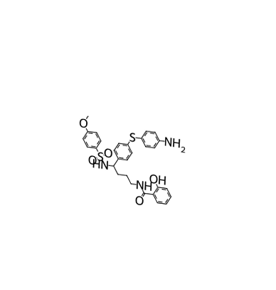 COc1ccc(S(=O)(=O)NC(CCCNC(=O)c2ccccc2O)c2ccc(Sc3ccc(N)cc3)cc2)cc1